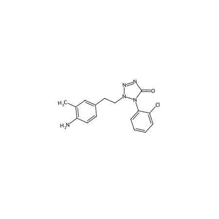 Cc1cc(CCn2nnc(=O)n2-c2ccccc2Cl)ccc1N